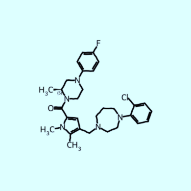 Cc1c(CN2CCCN(c3ccccc3Cl)CC2)cc(C(=O)N2CCN(c3ccc(F)cc3)C[C@@H]2C)n1C